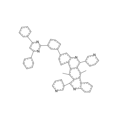 Cc1c2c(-c3cccnc3)nc3cc(-c4cccc(-c5nc(-c6ccccc6)cc(-c6ccccc6)n5)c4)ccc3c2c(C)c2c(-c3cccnc3)nc3ccccc3c12